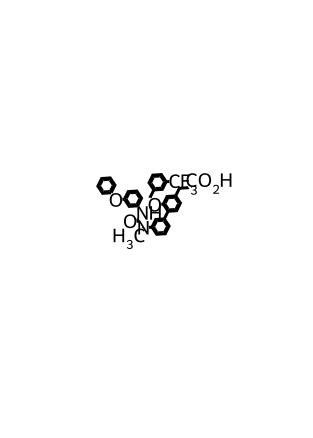 CN(C(=O)Nc1cccc(Oc2ccccc2)c1)c1cccc(-c2ccc(CCC(=O)O)cc2OCc2cccc(C(F)(F)F)c2)c1